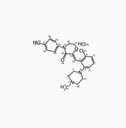 CN1CCN(c2cccc(Cl)c2C=C2OCCN(c3ccc(C(C)(C)C)cc3)C2=O)CC1.Cl